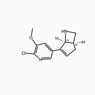 COc1cc(C2=CC[C@@H]3CN[C@H]23)cnc1Cl